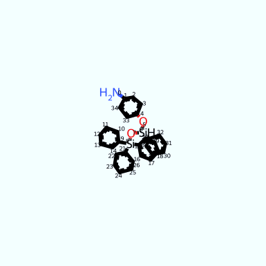 Nc1ccc(O[SiH](O[Si](c2ccccc2)(c2ccccc2)c2ccccc2)c2ccccc2)cc1